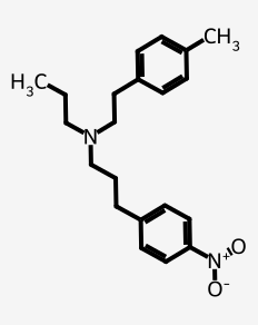 CCCN(CCCc1ccc([N+](=O)[O-])cc1)CCc1ccc(C)cc1